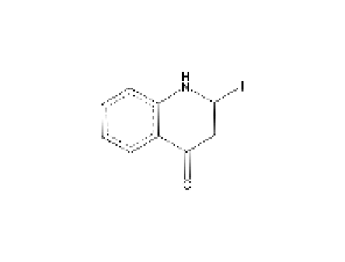 O=C1CC(I)Nc2ccccc21